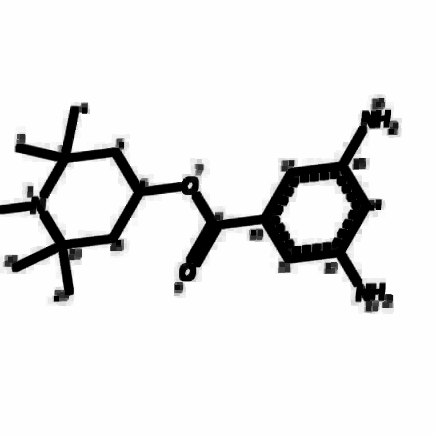 CN1C(C)(C)CC(OC(=O)c2cc(N)cc(N)c2)CC1(C)C